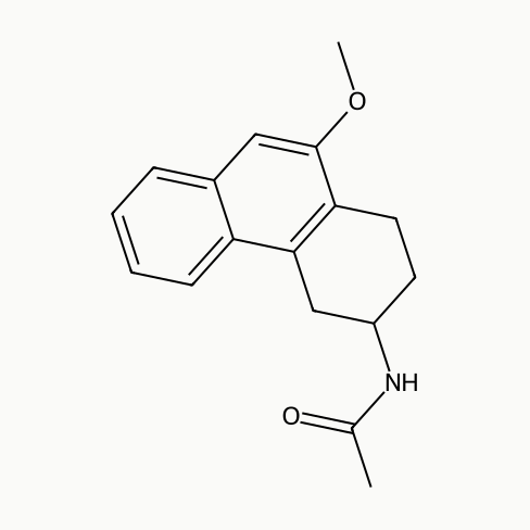 COc1cc2ccccc2c2c1CCC(NC(C)=O)C2